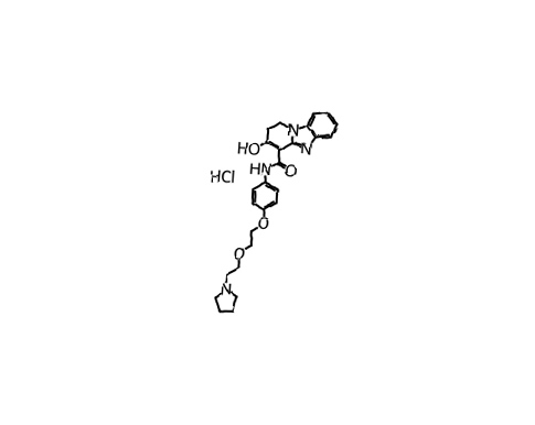 Cl.O=C(Nc1ccc(OCCOCCN2CCCC2)cc1)C1=C(O)CCn2c1nc1ccccc12